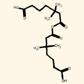 CC(C)(CCCC(=O)O)CC(=O)OC(=O)CC(C)(C)CCCC(=O)O